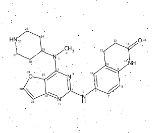 CN(c1nc(Nc2ccc3c(c2)CCC(=O)N3)nc2ccoc12)C1CCNCC1